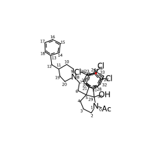 CC(=O)N1CCCC(CCN2CCC(Cc3ccccc3)CC2)(c2ccc(Cl)c(Cl)c2)C1(O)c1cccc(Cl)c1